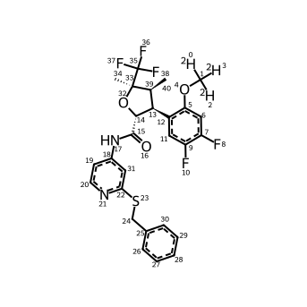 [2H]C([2H])([2H])Oc1cc(F)c(F)cc1[C@H]1[C@H](C(=O)Nc2ccnc(SCc3ccccc3)c2)O[C@@](C)(C(F)(F)F)[C@H]1C